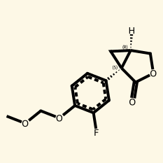 COCOc1ccc([C@]23C[C@H]2COC3=O)cc1F